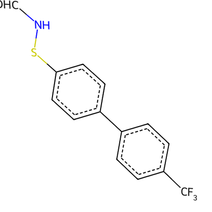 O=CNSc1ccc(-c2ccc(C(F)(F)F)cc2)cc1